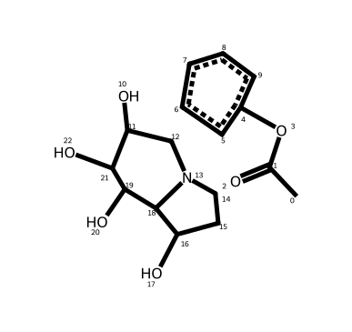 CC(=O)Oc1ccccc1.OC1CN2CCC(O)C2C(O)C1O